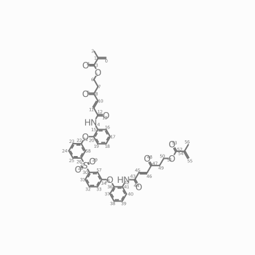 C=C(C)C(=O)OCCC(=O)/C=C/C(=O)Nc1ccccc1Oc1cccc(S(=O)(=O)c2cccc(Oc3ccccc3NC(=O)/C=C/C(=O)CCOC(=O)C(=C)C)c2)c1